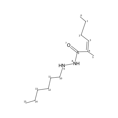 CCCC=C(C)C(=O)NNCCCCCC